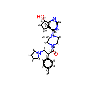 Cc1ccc(C(CN2CCCC2)C(=O)N2CCN(c3ncnc4c3[C@H](C)C[C@H]4O)CC2)cc1